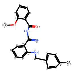 N=C(NC(=O)c1ccccc1OC(F)(F)F)c1ccccc1NCc1ccc(C(F)(F)F)cc1